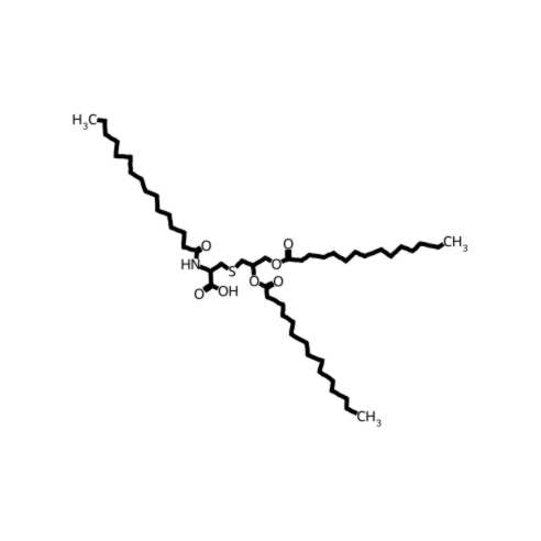 CCCCCCCCCCCCCCCC(=O)NC(CSCC(COC(=O)CCCCCCCCCCCCCC)OC(=O)CCCCCCCCCCCCCC)C(=O)O